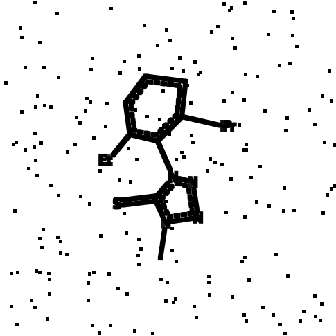 CCc1cccc(C(C)C)c1-n1nnn(C)c1=S